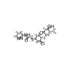 CC(C)c1cc(Cc2c(Cl)cc(SCC(=O)Nc3cccnn3)cc2Cl)ccc1O